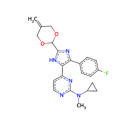 C=C1COC(c2nc(-c3ccc(F)cc3)c(-c3ccnc(N(C)C4CC4)n3)[nH]2)OC1